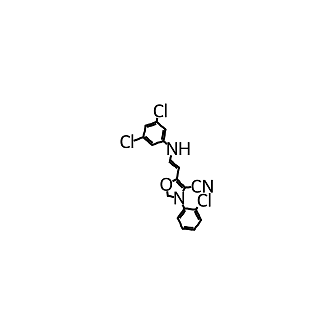 N#CC1=C(/C=C/Nc2cc(Cl)cc(Cl)c2)OCN1c1ccccc1Cl